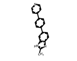 Cc1nc2ccc(-c3ccc(-c4ccncc4)cc3)cc2[nH]1